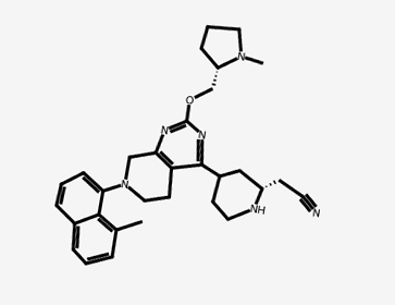 Cc1cccc2cccc(N3CCc4c(nc(OC[C@@H]5CCCN5C)nc4C4CCN[C@@H](CC#N)C4)C3)c12